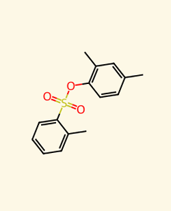 Cc1ccc(OS(=O)(=O)c2ccccc2C)c(C)c1